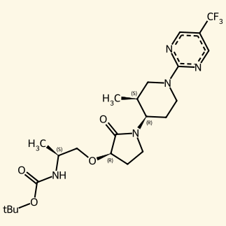 C[C@@H](CO[C@@H]1CCN([C@@H]2CCN(c3ncc(C(F)(F)F)cn3)C[C@@H]2C)C1=O)NC(=O)OC(C)(C)C